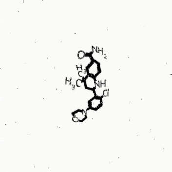 CC1(C)CC(c2cc(N3CCOCC3)ccc2Cl)Nc2ccc(C(N)=O)cc21